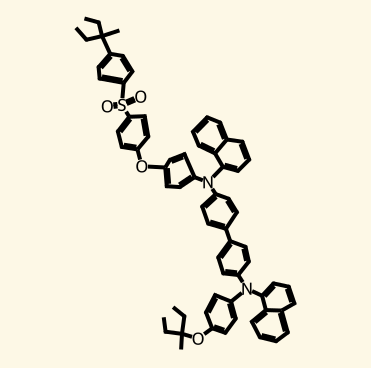 CCC(C)(CC)Oc1ccc(N(c2ccc(-c3ccc(N(c4ccc(Oc5ccc(S(=O)(=O)c6ccc(C(C)(CC)CC)cc6)cc5)cc4)c4cccc5ccccc45)cc3)cc2)c2cccc3ccccc23)cc1